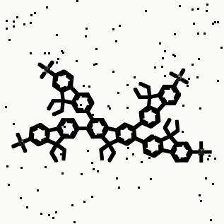 CCC1(CC)c2cc(-c3cc4c(cc3-c3ccc5c(c3)C(CC)(CC)c3cc([Si](C)(C)C)ccc3-5)C(CC)(CC)c3cc(-c5ccc6c(c5)C(CC)(CC)c5cc([Si](C)(C)C)ccc5-6)c(-c5ccc6c(c5)C(CC)(CC)c5cc([Si](C)(C)C)ccc5-6)cc3-4)ccc2-c2ccc([Si](C)(C)C)cc21